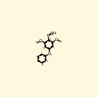 COc1cc(Oc2ccccc2)cc(OC)c1N=N